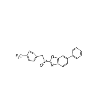 [O-][S+](Cc1ccc(C(F)(F)F)cc1)c1nc2ccc(-c3ccccc3)cc2o1